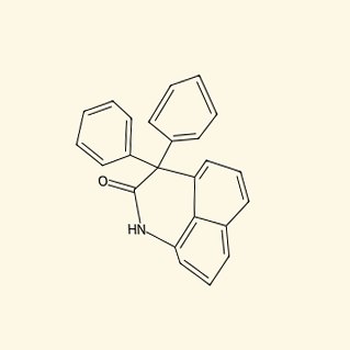 O=C1Nc2cccc3cccc(c23)C1(c1ccccc1)c1ccccc1